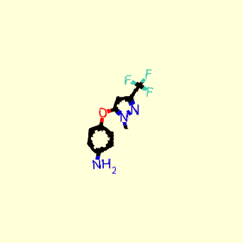 Cn1nc(C(F)(F)F)cc1Oc1ccc(N)cc1